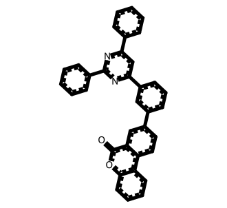 O=c1oc2ccccc2c2ccc(-c3cccc(-c4cc(-c5ccccc5)nc(-c5ccccc5)n4)c3)cc12